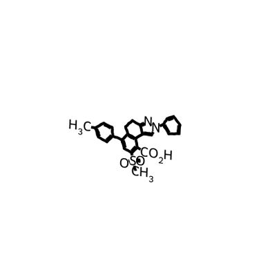 Cc1ccc(-c2cc(S(C)(=O)=O)c(C(=O)O)c3c2CCc2nn(-c4ccccc4)cc2-3)cc1